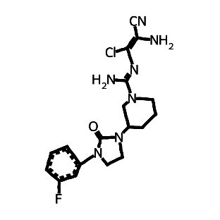 N#C/C(N)=C(Cl)/N=C(\N)N1CCCC(N2CCN(c3cccc(F)c3)C2=O)C1